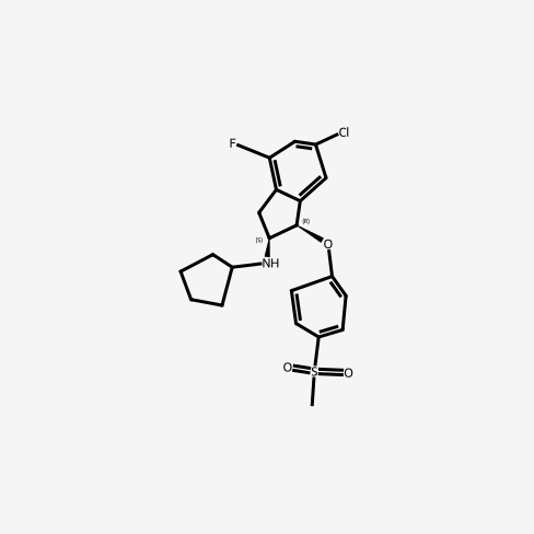 CS(=O)(=O)c1ccc(O[C@@H]2c3cc(Cl)cc(F)c3C[C@@H]2NC2CCCC2)cc1